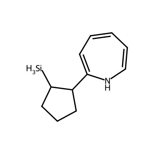 [SiH3]C1CCCC1C1=CC=CC=CN1